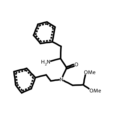 COC(CN(CCc1ccccc1)C(=O)C(N)Cc1ccccc1)OC